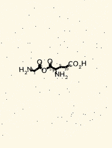 NCC(=O)OC(=O)[C@@H](N)CCC(=O)O